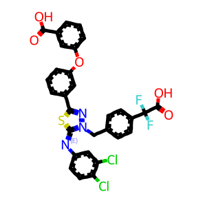 O=C(O)c1cccc(Oc2cccc(-c3nn(Cc4ccc(C(F)(F)C(=O)O)cc4)/c(=N\c4ccc(Cl)c(Cl)c4)s3)c2)c1